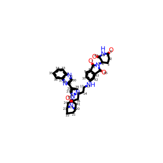 O=C1CCC(N2C(=O)c3ccc(NCCCCC(=O)N4C5CCC4CC(n4cc(-c6cnc7ccccc7n6)cn4)C5)cc3C2=O)C(=O)N1